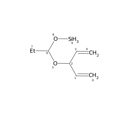 C=CC(C=C)OC(CC)O[SiH3]